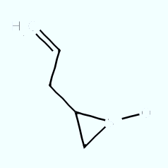 C=CCC1C[S+]1[O-]